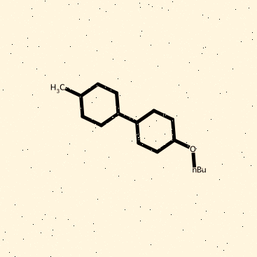 CCCCOC1CCC(C2CCC(C)CC2)CC1